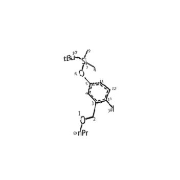 CCCOCc1cc(O[Si](C)(C)C(C)(C)C)ccc1I